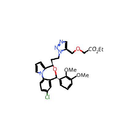 CCOC(=O)COCc1cnnn1CC[C@H]1O[C@H](c2cccc(OC)c2OC)c2cc(Cl)ccc2-n2cccc21